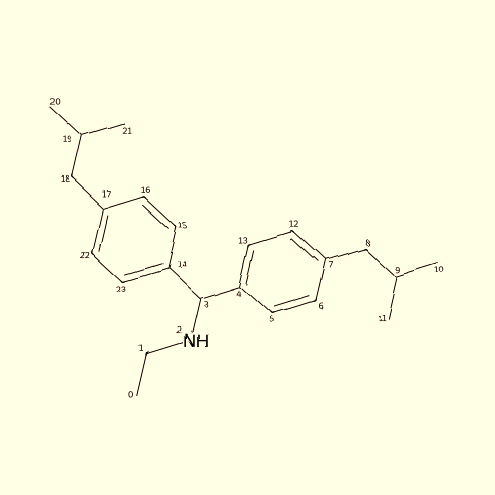 CCNC(c1ccc(CC(C)C)cc1)c1ccc(CC(C)C)cc1